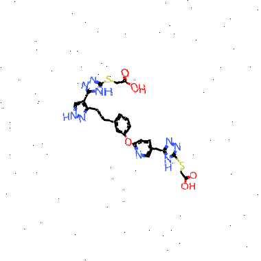 O=C(O)CSc1nnc(-c2ccc(Oc3cccc(CCc4n[nH]cc4-c4nnc(SCC(=O)O)[nH]4)c3)nc2)[nH]1